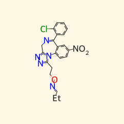 CCC=NOCCc1nnc2n1-c1ccc([N+](=O)[O-])cc1C(c1ccccc1Cl)=NC2